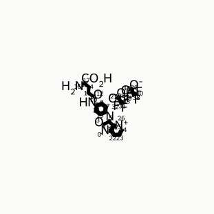 CN1C(=O)C(=Nc2ccc(NC(=O)CC[C@H](N)C(=O)O)cc2)c2c1ccc[n+]2C.O=C(O)C(F)(F)F.O=C([O-])C(F)(F)F